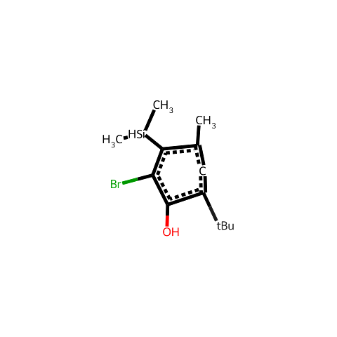 Cc1cc(C(C)(C)C)c(O)c(Br)c1[SiH](C)C